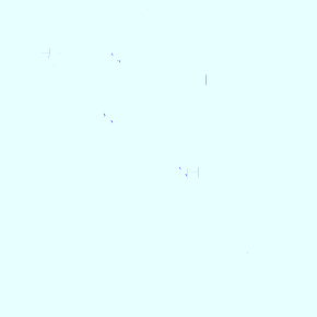 C=C(CN1CCC(NCCc2ccccc2C)CC1)N(CC)CCC